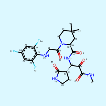 CNC(=O)C(=O)C(NC(=O)[C@@H]1CC(C)(C)CCN1C(=O)CNc1c(F)cc(F)cc1F)[C@@H]1CCNC1=O